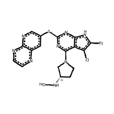 CCc1[nH]c2nc(Sc3cnc4nccnc4c3)nc(N3CC[C@H](NO)C3)c2c1Cl